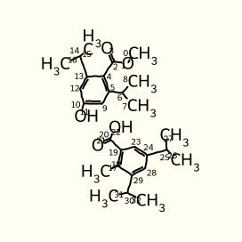 COC(=O)c1c(C(C)C)cc(O)cc1C(C)C.Cc1c(C(=O)O)cc(C(C)C)cc1C(C)C